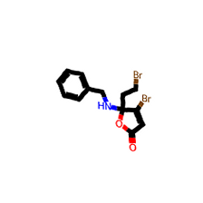 O=C1C=C(Br)C(CCBr)(NCc2ccccc2)O1